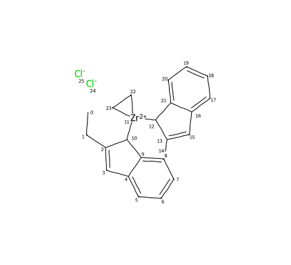 CCC1=Cc2ccccc2[CH]1[Zr+2]1([CH]2C(C)=Cc3ccccc32)[CH2][CH2]1.[Cl-].[Cl-]